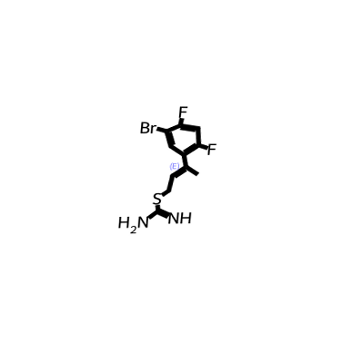 C/C(=C\CSC(=N)N)c1cc(Br)c(F)cc1F